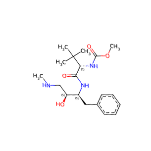 CNC[C@H](O)[C@H](Cc1ccccc1)NC(=O)[C@@H](NC(=O)OC)C(C)(C)C